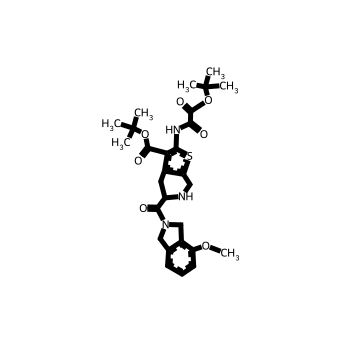 COc1cccc2c1CN(C(=O)C1Cc3c(sc(NC(=O)C(=O)OC(C)(C)C)c3C(=O)OC(C)(C)C)CN1)C2